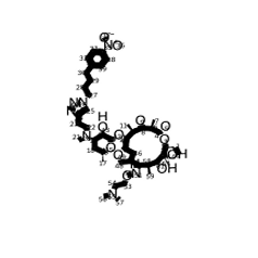 CC[C@H]1OC(=O)[C@H](C)C(=O)[C@H](C)[C@@H](O[C@@H]2O[C@H](C)C[C@H](N(C)CCc3cn(CCCCc4ccc([N+](=O)[O-])cc4)nn3)[C@H]2O)[C@@]2(C)C[C@@H](CO2)/C(=N\OCCN(C)C)[C@H](C)[C@@H](O)[C@]1(C)O